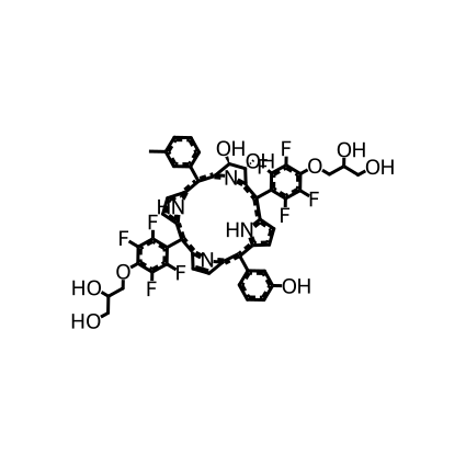 Cc1cccc(-c2c3nc(c(-c4c(F)c(F)c(OCC(O)CO)c(F)c4F)c4ccc([nH]4)c(-c4cccc(O)c4)c4nc(c(-c5c(F)c(F)c(OCC(O)CO)c(F)c5F)c5ccc2[nH]5)C=C4)[C@@H](O)[C@@H]3O)c1